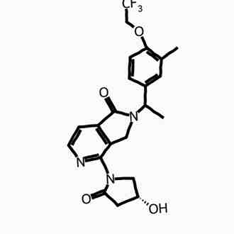 Cc1cc(C(C)N2Cc3c(ccnc3N3C[C@H](O)CC3=O)C2=O)ccc1OCC(F)(F)F